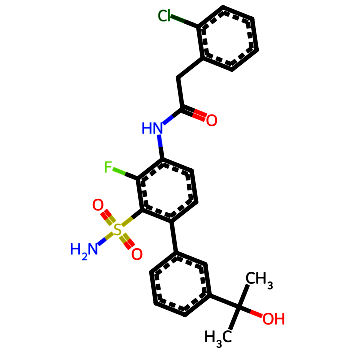 CC(C)(O)c1cccc(-c2ccc(NC(=O)Cc3ccccc3Cl)c(F)c2S(N)(=O)=O)c1